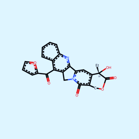 CC[C@@]1(O)C(=O)OCc2c1cc1n(c2=O)Cc2c-1nc1ccccc1c2C(=O)c1ccco1